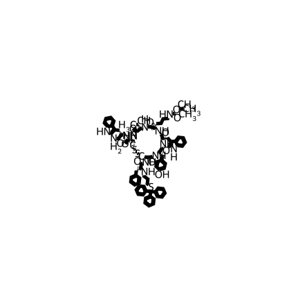 CC(C)[C@@H]1NC(=O)[C@H](CCCCNC(=O)OC(C)(C)C)NC(=O)[C@@H](Cc2c[nH]c3ccccc23)NC(=O)[C@H](Cc2ccc(O)cc2)NC(=O)[C@@H](NC(=O)[C@@H](Cc2ccccc2)NCCCSC(c2ccccc2)(c2ccccc2)c2ccccc2)CSSC[C@@H](C(=O)N[C@@H](Cc2c[nH]c3ccccc23)C(N)=O)NC1=O